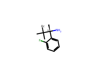 CC(=O)C(C)(C)[C@](C)(N)c1ccccc1F